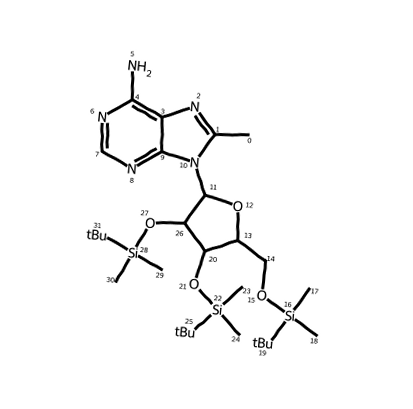 Cc1nc2c(N)ncnc2n1C1OC(CO[Si](C)(C)C(C)(C)C)C(O[Si](C)(C)C(C)(C)C)C1O[Si](C)(C)C(C)(C)C